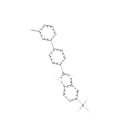 FC(F)(F)c1ccc2[nH]c(-c3ccc(-c4cccc(Cl)c4)cc3)nc2c1